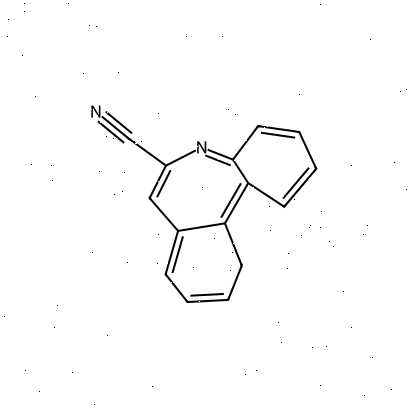 N#CC1=CC2=CC=CCC2=c2ccccc2=N1